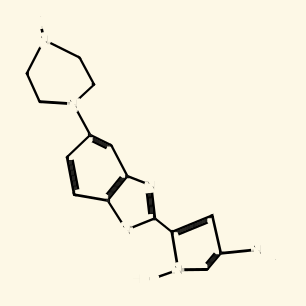 CN1CCN(c2ccc3[nH]c(-c4cc(N)cn4C)nc3c2)CC1